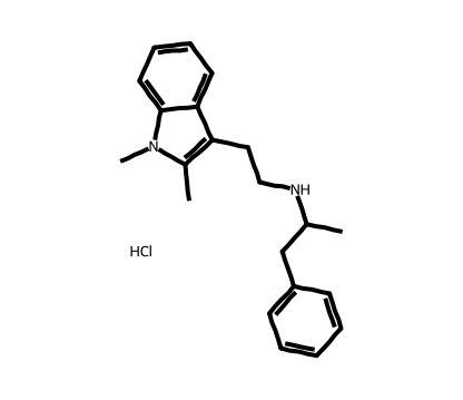 Cc1c(CCNC(C)Cc2ccccc2)c2ccccc2n1C.Cl